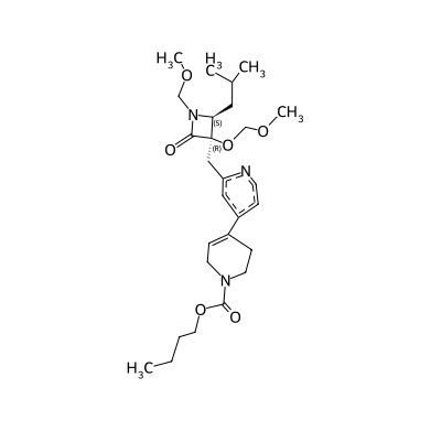 CCCCOC(=O)N1CC=C(c2ccnc(C[C@]3(OCOC)C(=O)N(COC)[C@H]3CC(C)C)c2)CC1